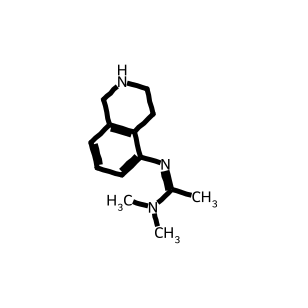 CC(=Nc1cccc2c1CCNC2)N(C)C